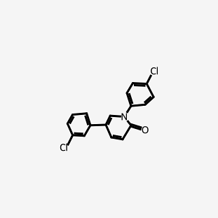 O=c1ccc(-c2cccc(Cl)c2)cn1-c1ccc(Cl)cc1